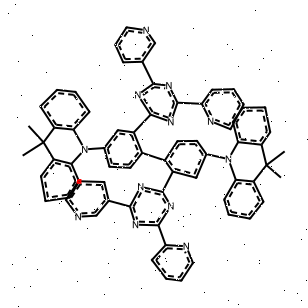 CC1(C)c2ccccc2N(c2ccc(-c3ccc(N4c5ccccc5C(C)(C)c5ccccc54)cc3-c3nc(-c4cccnc4)nc(-c4ccccn4)n3)c(-c3nc(-c4cccnc4)nc(-c4ccccn4)n3)c2)c2ccccc21